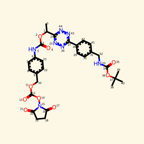 CC(OC(=O)Nc1ccc(COC(=O)ON2C(=O)CCC2=O)cc1)c1nnc(-c2ccc(CNC(=O)OC(C)(C)C)cc2)nn1